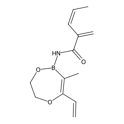 C=CC1=C(C)B(NC(=O)C(=C)/C=C\C)OCCO1